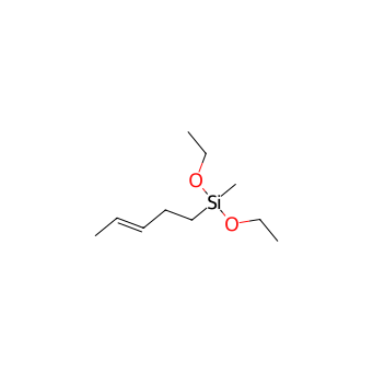 CC=CCC[Si](C)(OCC)OCC